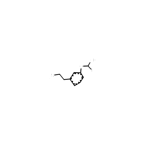 CC(I)Oc1cccc(CCN)c1